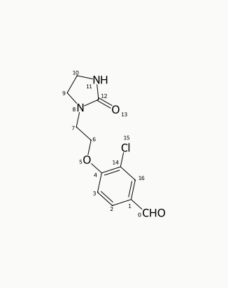 O=Cc1ccc(OCCN2CCNC2=O)c(Cl)c1